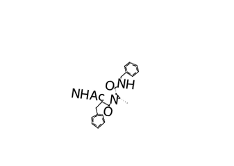 CC(=O)N[C@@H](Cc1ccccc1)C(=O)N1[C@H](C(=O)NCc2ccccc2)[C@@H]1C